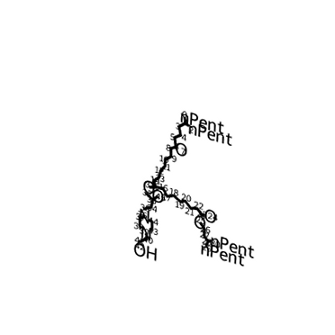 CCCCCC(CCCCC)CCCC(=O)CCCCCCCC1(CCCCCCCC(=O)OCCC(CCCCC)CCCCC)OCC(CCN2CCN(CCO)CC2)O1